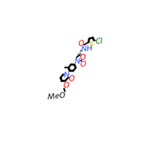 COCCOc1cccn(-c2ccc(N3C[C@H](CNC(=O)c4ccc(Cl)s4)OC3=O)cc2C)c1=O